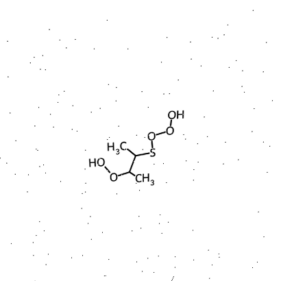 CC(OO)C(C)SOOO